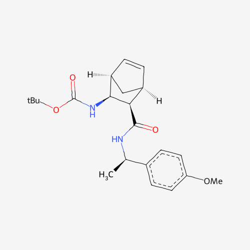 COc1ccc([C@@H](C)NC(=O)[C@H]2[C@@H](NC(=O)OC(C)(C)C)[C@H]3C=C[C@@H]2C3)cc1